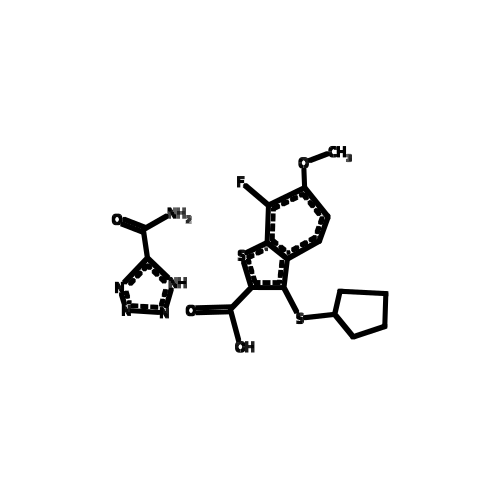 COc1ccc2c(SC3CCCC3)c(C(=O)O)sc2c1F.NC(=O)c1nnn[nH]1